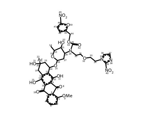 COc1cccc2c1C(=O)c1c(O)c3c(c(O)c1C2=O)CC(O)(C(C)=O)CC3OC1CC(N(CCOCCn2ccnc2[N+](=O)[O-])C(=O)OCc2ccc([N+](=O)[O-])o2)C(O)C(C)O1